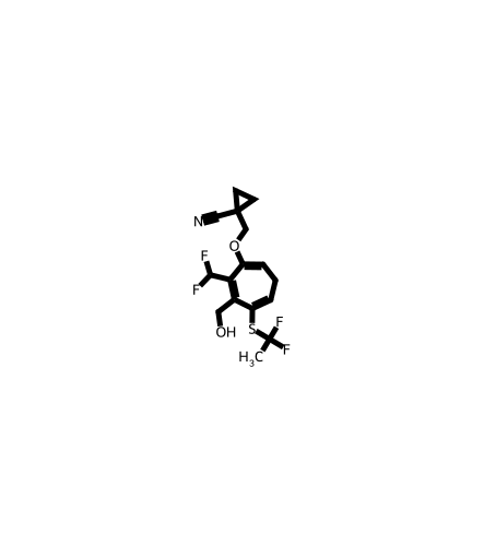 CC(F)(F)SC1=CCC=C(OCC2(C#N)CC2)C(C(F)F)=C1CO